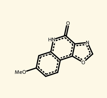 COc1ccc2c(c1)[nH]c(=O)c1ncoc12